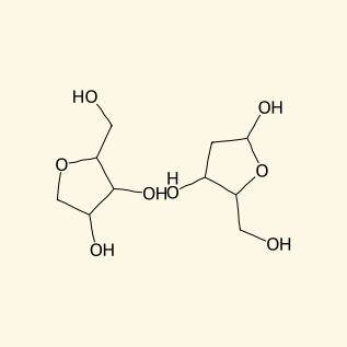 OCC1OC(O)CC1O.OCC1OCC(O)C1O